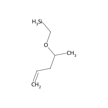 C=CCC(C)OC[SiH3]